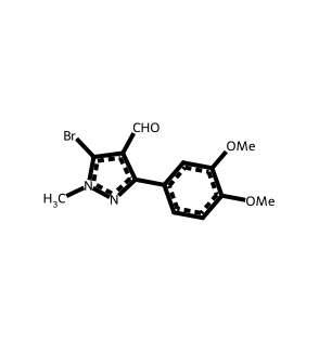 COc1ccc(-c2nn(C)c(Br)c2C=O)cc1OC